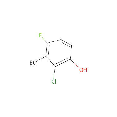 CCc1c(F)ccc(O)c1Cl